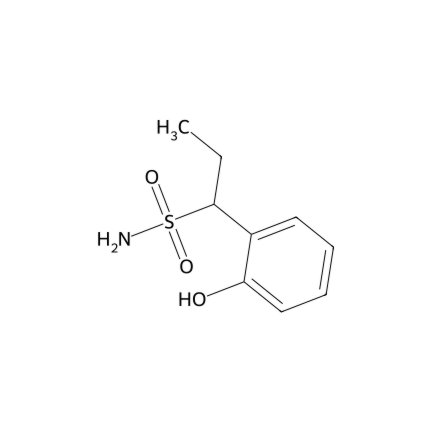 CCC(c1ccccc1O)S(N)(=O)=O